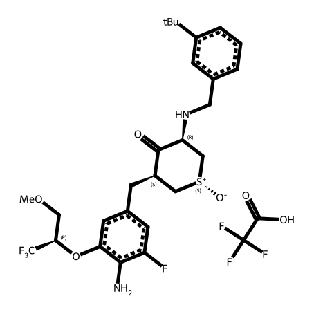 COC[C@@H](Oc1cc(C[C@@H]2C[S@@+]([O-])C[C@H](NCc3cccc(C(C)(C)C)c3)C2=O)cc(F)c1N)C(F)(F)F.O=C(O)C(F)(F)F